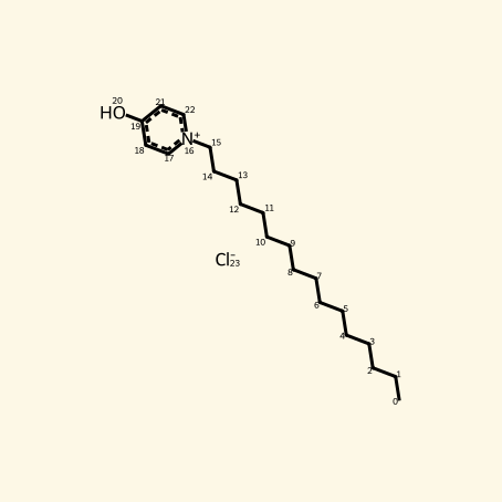 CCCCCCCCCCCCCCCC[n+]1ccc(O)cc1.[Cl-]